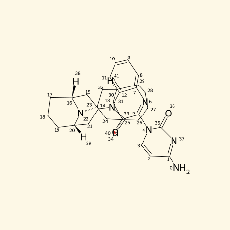 Nc1ccn(-c2nc3ccccc3n(C3C[C@H]4CCC[C@@H](C3)N4[C@H]3C[C@@H]4CCCC[C@@H](C4)C3)c2=O)c(=O)n1